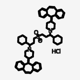 Cl.O=S(=O)(CCC(C1CCCCC1)N1CCC(=C2c3ccccc3C=Cc3ccccc32)CC1)CCC(C1CCCCC1)N1CCC(=C2c3ccccc3C=Cc3ccccc32)CC1